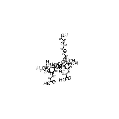 CC1(O)C=C(CCC(=O)O)C=C(C(C)(C)C)C1.CC1(O)C=C(CCC(=O)O)C=C(C(C)(C)C)C1.OCCOCCOCCO